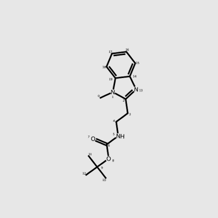 Cn1c(CCNC(=O)OC(C)(C)C)nc2ccccc21